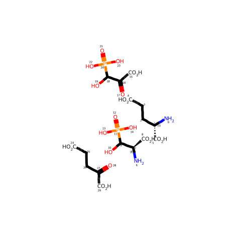 N[C@@H](CCC(=O)O)C(=O)O.N[C@H](C(=O)O)C(O)P(=O)(O)O.O=C(O)C(=O)C(O)P(=O)(O)O.O=C(O)CCC(=O)C(=O)O